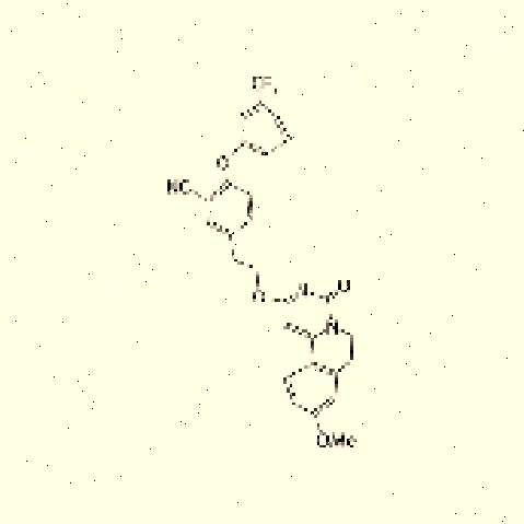 COc1ccc2c(c1)CCn1c-2cc(OCCc2ccc(Oc3cccc(C(F)(F)F)c3)c(C#N)c2)nc1=O